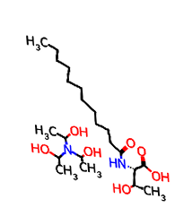 CC(O)N(C(C)O)C(C)O.CCCCCCCCCCCC(=O)N[C@H](C(=O)O)[C@@H](C)O